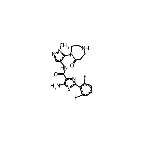 Cn1ncc(NC(=O)c2nc(-c3c(F)cccc3F)sc2N)c1N1CCNCCC1=O